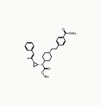 COC(=O)c1ccc(CCN2CCC(N(C(=O)OC(C)(C)C)[C@@H]3C[C@H]3C(C)=Cc3ccccc3)CC2)cc1